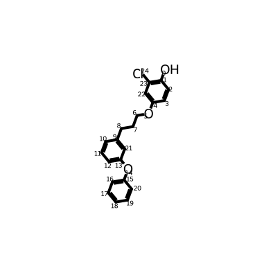 Oc1ccc(OCCCc2cccc(Oc3ccccc3)c2)cc1Cl